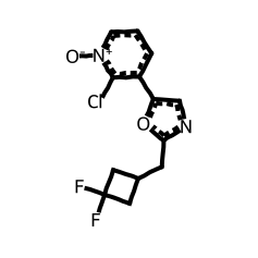 [O-][n+]1cccc(-c2cnc(CC3CC(F)(F)C3)o2)c1Cl